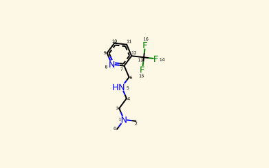 CN(C)CCNCc1ncccc1C(F)(F)F